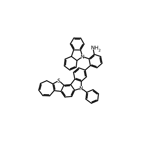 Nc1cccc(-c2ccc3c4c5sc6c(c5ccc4n(-c4ccccc4)c3c2)C=CC=CC6)c1N1c2ccccc2C2C=CC=CC21